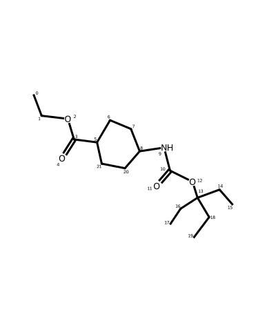 CCOC(=O)C1CCC(NC(=O)OC(CC)(CC)CC)CC1